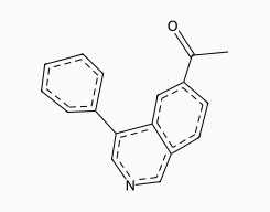 CC(=O)c1ccc2cncc(-c3ccccc3)c2c1